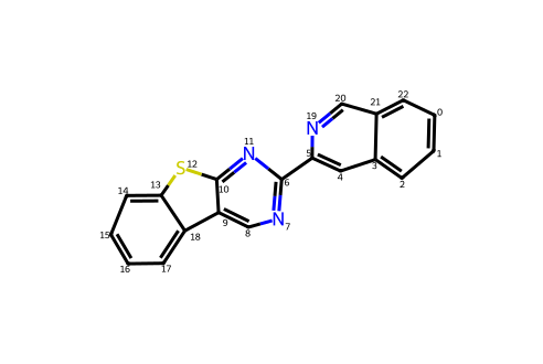 c1ccc2cc(-c3ncc4c(n3)sc3ccccc34)ncc2c1